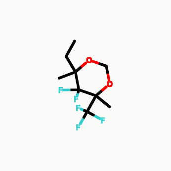 CCC1(C)OCOC(C)(C(F)(F)F)C1(F)F